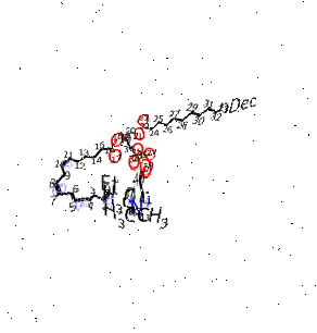 CC/C=C\C/C=C\C/C=C\C/C=C\CCCCC(=O)O[C@H](COC(=O)CCCCCCCCCCCCCCCCCCC)COP(=O)([O-])OCC[N+](C)(C)C